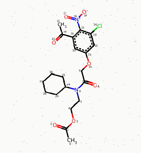 CC(=O)OCCN(C(=O)COc1cc(Cl)c([N+](=O)[O-])c(C(C)=O)c1)C1CCCCC1